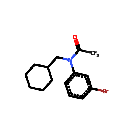 O=C(N(CC1CCCCC1)c1cccc(Br)c1)C(F)(F)F